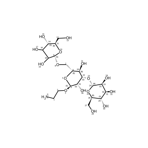 NCCO[C@H]1O[C@H](CO[C@H]2O[C@H](CO)[C@@H](O)C(O)C2O)[C@@H](O)[C@H](O[C@H]2O[C@H](CO)[C@@H](O)[C@H](O)[C@@H]2O)[C@@H]1O